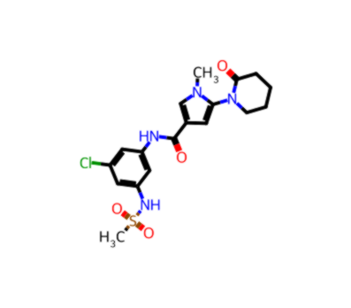 Cn1cc(C(=O)Nc2cc(Cl)cc(NS(C)(=O)=O)c2)cc1N1CCCCC1=O